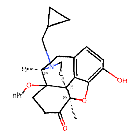 CCCOC12CCC(=O)[C@]3(C)Oc4c(O)ccc5c4[C@]13CCN(CC1CC1)[C@@H]2C5